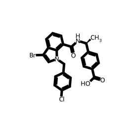 C[C@H](NC(=O)c1cccc2c(Br)cn(Cc3ccc(Cl)cc3)c12)c1ccc(C(=O)O)cc1